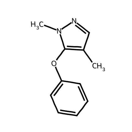 Cc1cnn(C)c1Oc1ccccc1